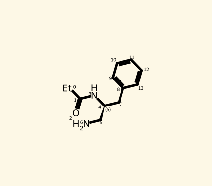 CCC(=O)N[C@H](CN)Cc1ccccc1